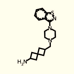 NC1CC2(C1)CC(CN1CCN(c3nsc4ccccc34)CC1)C2